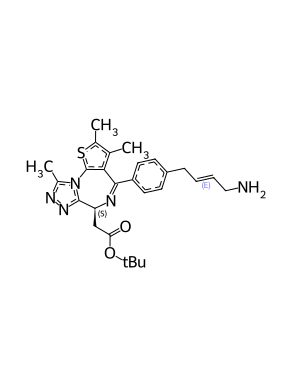 Cc1sc2c(c1C)C(c1ccc(C/C=C/CN)cc1)=N[C@@H](CC(=O)OC(C)(C)C)c1nnc(C)n1-2